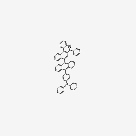 c1ccc(-c2nc3ccccc3c3c2cc(-c2c4ccccc4c(-c4ccc(P(c5ccccc5)c5ccccc5)cc4)c4ccccc24)c2ccccc23)cc1